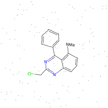 CNc1cccc2nc(CCl)nc(-c3ccccc3)c12